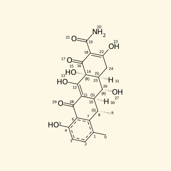 Cc1ccc(O)c2c1[C@@H](C)[C@H]1C(=C(O)[C@@]3(O)C(=O)C(C(N)=O)=C(O)C[C@H]3[C@@H]1O)C2=O